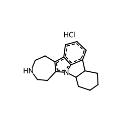 Cl.c1cc2c3c(c1)c1c(n3C3CCCCC23)CCNCC1